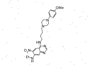 CCNc1cc2ncnc(NCCCCN3CCN(c4ccc(OC)cc4)CC3)c2cc1[N+](=O)[O-]